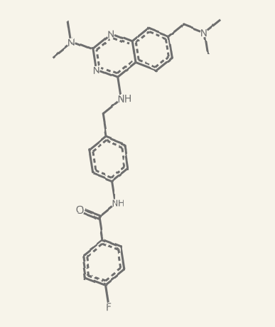 CN(C)Cc1ccc2c(NCc3ccc(NC(=O)c4ccc(F)cc4)cc3)nc(N(C)C)nc2c1